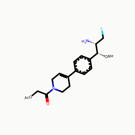 CO[C@H](c1ccc(C2=CCN(C(=O)COC(C)=O)CC2)cc1)[C@H](N)CF